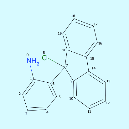 Nc1ccccc1C1(Cl)c2ccccc2-c2ccccc21